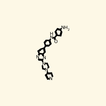 Nc1ccc(C(=O)Nc2ccc(-c3ccc4ncc(N5CCN(c6ccncc6)CC5)nc4c3)cc2)cc1